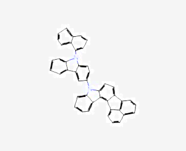 c1ccc2c(-n3c4ccccc4c4cc(-n5c6ccccc6c6c7c(ccc65)-c5cccc6cccc-7c56)ccc43)cccc2c1